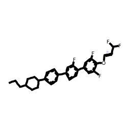 CCCC1CCC(c2ccc(-c3ccc(-c4cc(F)c(O/C=C/C(F)F)c(F)c4)c(F)c3)cc2)CC1